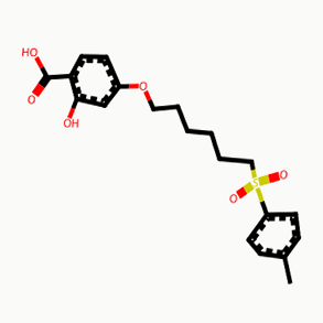 Cc1ccc(S(=O)(=O)CCCCCCOc2ccc(C(=O)O)c(O)c2)cc1